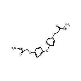 NNC(=O)COc1ccc(Oc2ccc(OCC(=O)NN)cc2)cc1